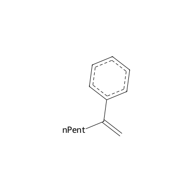 C=C(CCCCC)c1ccccc1